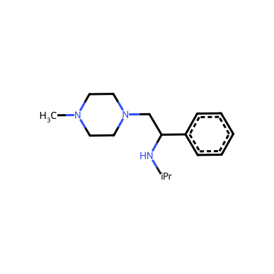 CC(C)NC(CN1CCN(C)CC1)c1ccccc1